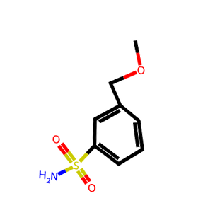 COCc1cccc(S(N)(=O)=O)c1